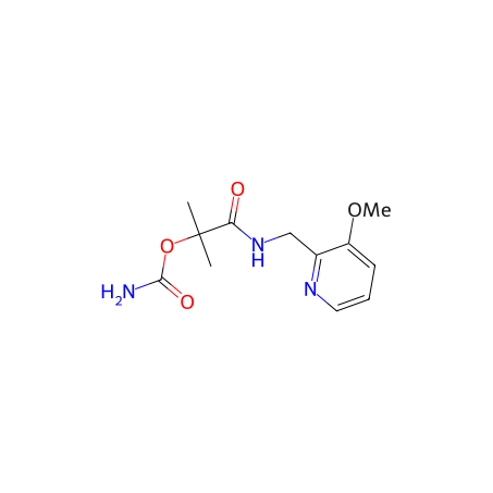 COc1cccnc1CNC(=O)C(C)(C)OC(N)=O